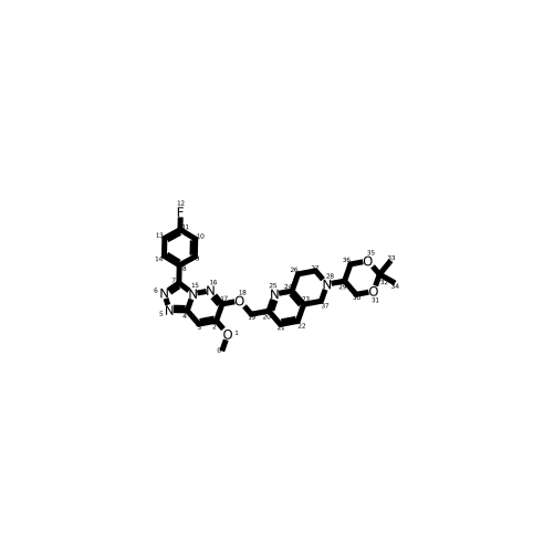 COc1cc2nnc(-c3ccc(F)cc3)n2nc1OCc1ccc2c(n1)CCN(C1COC(C)(C)OC1)C2